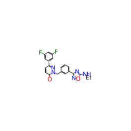 CCNc1nc(-c2cccc(Cn3nc(-c4cc(F)cc(F)c4)ccc3=O)c2)no1